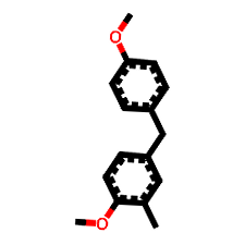 COc1ccc(Cc2ccc(OC)c(C)c2)cc1